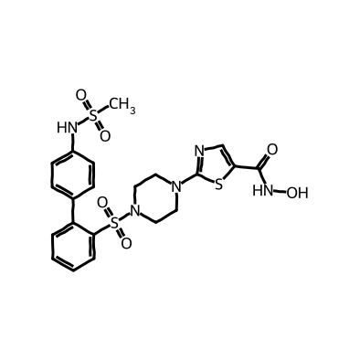 CS(=O)(=O)Nc1ccc(-c2ccccc2S(=O)(=O)N2CCN(c3ncc(C(=O)NO)s3)CC2)cc1